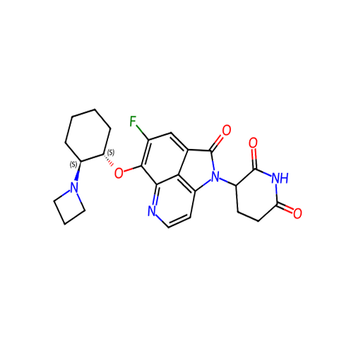 O=C1CCC(N2C(=O)c3cc(F)c(O[C@H]4CCCC[C@@H]4N4CCC4)c4nccc2c34)C(=O)N1